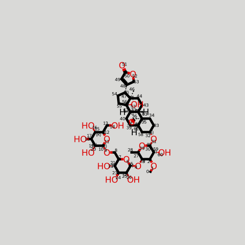 COC1[C@@H](O[C@@H]2OC(CO[C@@H]3OC(CO)[C@H](O)C(O)[C@@H]3O)[C@@H](O)C(O)[C@@H]2O)C(C)O[C@@H](O[C@H]2CC[C@@]3(C=O)[C@H](CC[C@@H]4[C@@H]3CC[C@]3(C)[C@@H](C5=CC(=O)OC5)CC[C@]43O)C2)[C@@H]1O